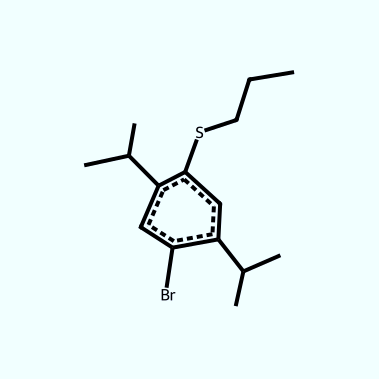 CCCSc1cc(C(C)C)c(Br)cc1C(C)C